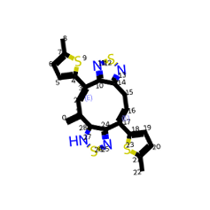 C=C1/C=C(/c2ccc(C)s2)c2nsnc2C/C=C(/c2ccc(C)s2)C2=NSNC12